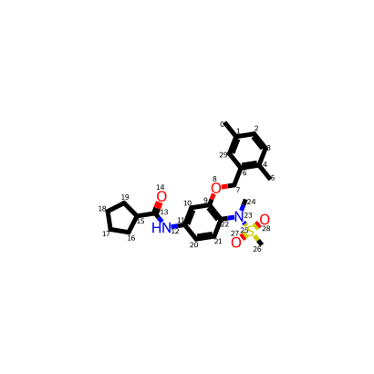 Cc1ccc(C)c(COc2cc(NC(=O)C3CCCC3)ccc2N(C)S(C)(=O)=O)c1